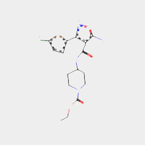 CCOC(=O)N1CCC(NC(=O)c2c(-c3ccc(Br)s3)noc2N)CC1